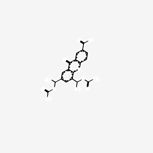 CC(=O)OC(C)c1cc(C(C)OC(C)=O)c2oc3ccc(C(=O)O)cc3c(=O)c2c1